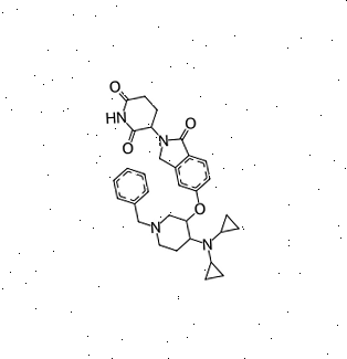 O=C1CCC(N2Cc3cc(OC4CN(Cc5ccccc5)CCC4N(C4CC4)C4CC4)ccc3C2=O)C(=O)N1